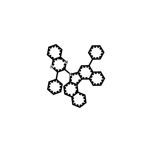 c1ccc(-c2nc3ccccc3nc2-n2c3ccc4ccccc4c3c3c4ccccc4c(-c4ccccc4)cc32)cc1